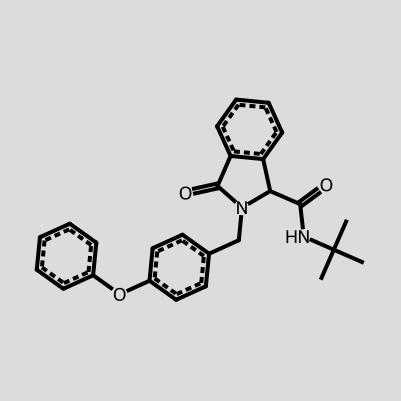 CC(C)(C)NC(=O)C1c2ccccc2C(=O)N1Cc1ccc(Oc2ccccc2)cc1